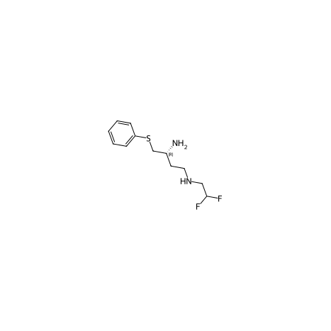 N[C@H](CCNCC(F)F)CSc1ccccc1